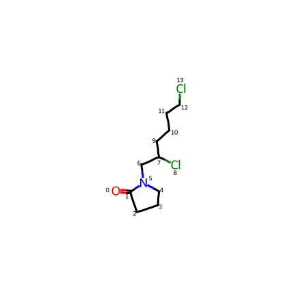 O=C1CCCN1CC(Cl)CCCCCl